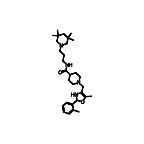 CC1=C(CN2CCC(C(=O)NCCCN3CC(C)(C)CC(C)(C)C3)CC2)NC(c2ccccc2C)O1